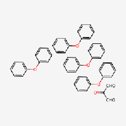 O=CC(=O)C=O.c1ccc(Oc2ccccc2)cc1.c1ccc(Oc2ccccc2)cc1.c1ccc(Oc2ccccc2)cc1.c1ccc(Oc2ccccc2)cc1